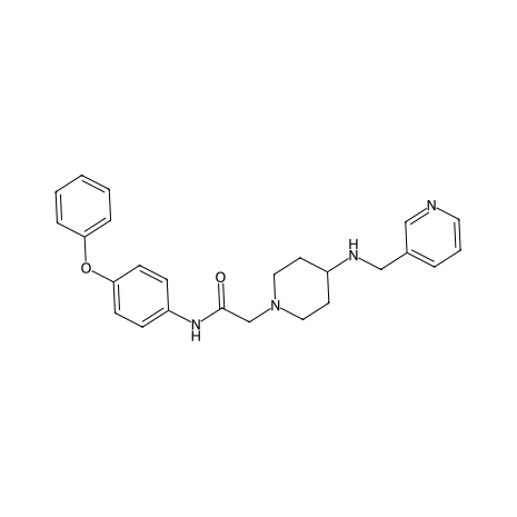 O=C(CN1CCC(NCc2cccnc2)CC1)Nc1ccc(Oc2ccccc2)cc1